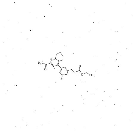 CCOC(=O)CCc1cc(F)cc(-c2cc(C(C)=O)nc3c2CCCC3)c1